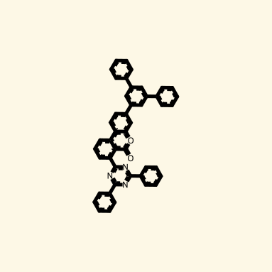 O=c1oc2cc(-c3cc(-c4ccccc4)cc(-c4ccccc4)c3)ccc2c2cccc(-c3nc(-c4ccccc4)nc(-c4ccccc4)n3)c12